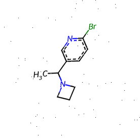 CC(c1ccc(Br)nc1)N1CCC1